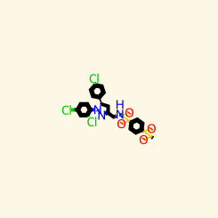 CS(=O)(=O)c1ccc(S(=O)(=O)NCC2=NN(c3ccc(Cl)cc3Cl)[C@@H](c3ccc(Cl)cc3)C2)cc1